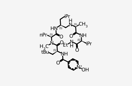 CCC[C@@H](C(=O)N[C@H](CN[C@@H](C)C(=O)N[C@H](C(=O)NCC)C(C)C)CC(C)C)N(C)C(=O)[C@H](CC(C)(C)C)NC(=O)c1cc[n+](O)cc1